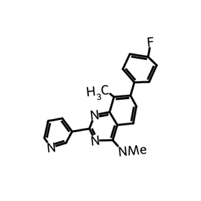 CNc1nc(-c2cccnc2)nc2c(C)c(-c3ccc(F)cc3)ccc12